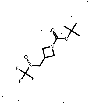 CC(C)(C)OC(=O)N1CC(C[S+]([O-])C(F)(F)F)C1